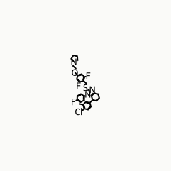 Cc1cc(C2CCCc3nc(SCc4c(F)cc(OCCN5CCCC5)cc4F)n(-c4ccc(F)cc4)c32)ccc1Cl